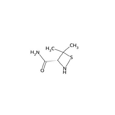 CC1(C)SN[C@@H]1C(N)=O